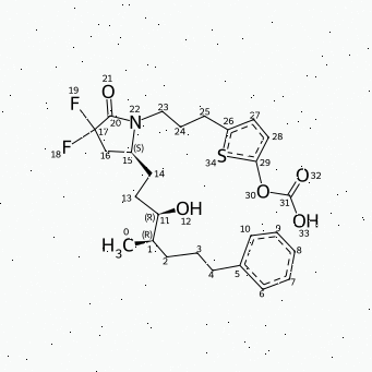 C[C@H](CCCc1ccccc1)[C@H](O)CC[C@H]1CC(F)(F)C(=O)N1CCCc1ccc(OC(=O)O)s1